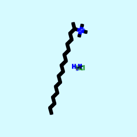 CCCCCCCCCCCCCCCCC(C)[N+](C)(C)C.Cl.N